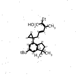 CCC(C(=O)O)=C(C)C=CCC1(c2cc(C(C)(C)C)cc3c2CCC3(C)C)CC1